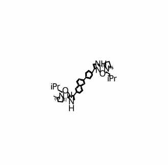 CC(C)CC(=O)N1[C@H](C)CC[C@H]1c1nc(-c2ccc(-c3ccc4cc(-c5c[nH]c([C@@H]6CC[C@@H](C)N6C(=O)CC(C)C)n5)ccc4c3)cc2)c[nH]1